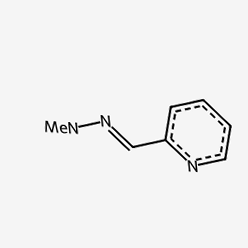 CN/N=C/c1ccccn1